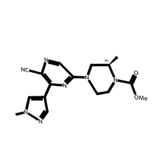 COC(=O)N1CCN(c2cnc(C#N)c(-c3cnn(C)c3)n2)C[C@H]1C